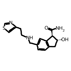 NC(=O)[C@@H]1c2cc(CNCCc3cscn3)ccc2C[C@H]1O